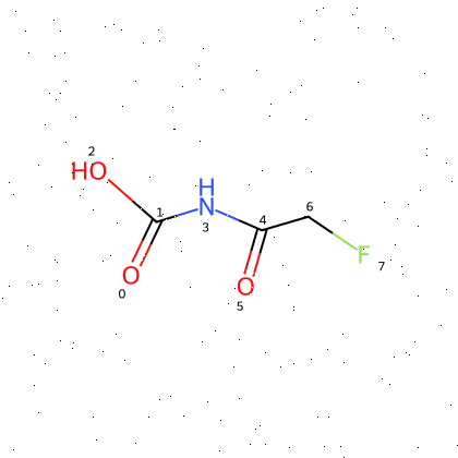 O=C(O)NC(=O)CF